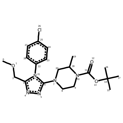 COCc1nnc(N2CCN(C(=O)OC(C)(C)C)C(C)C2)n1-c1ccc(Cl)cc1